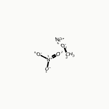 C[O-].O=[N+]([O-])[O-].[Ni+2]